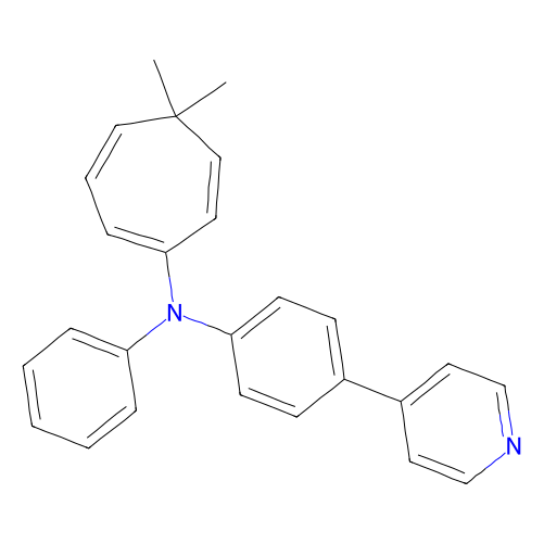 CC1(C)C=CC=C(N(c2ccccc2)c2ccc(-c3ccncc3)cc2)C=C1